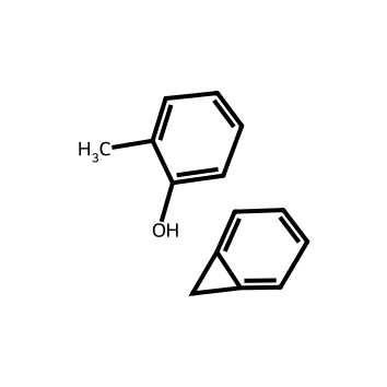 Cc1ccccc1O.c1ccc2c(c1)C2